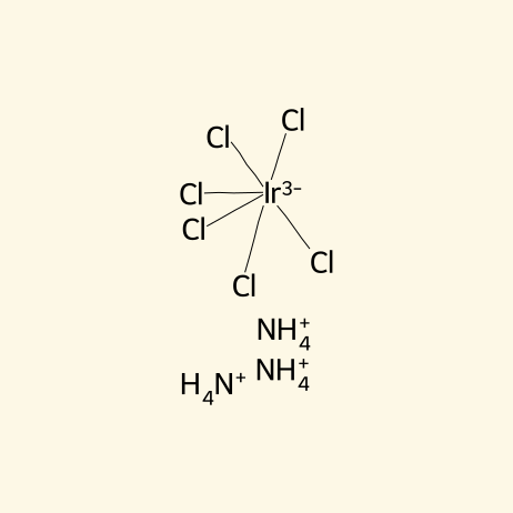 [Cl][Ir-3]([Cl])([Cl])([Cl])([Cl])[Cl].[NH4+].[NH4+].[NH4+]